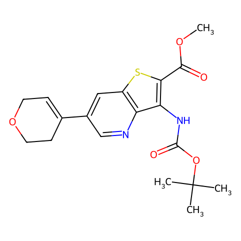 COC(=O)c1sc2cc(C3=CCOCC3)cnc2c1NC(=O)OC(C)(C)C